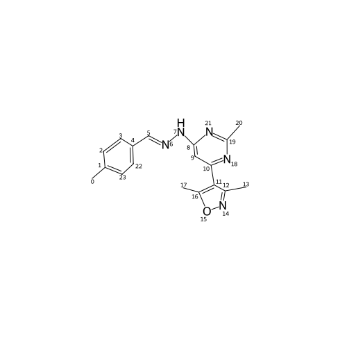 Cc1ccc(/C=N/Nc2cc(-c3c(C)noc3C)nc(C)n2)cc1